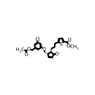 COC(=O)c1ccc(CCC[C@H]2C(=O)C=C[C@@H]2COc2cc(Cl)cc(COC(C)=O)c2)s1